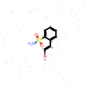 NS(=O)(=O)c1ccccc1C=CBr